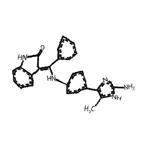 Cc1[nH]c(N)nc1-c1ccc(NC(=C2C(=O)Nc3ccccc32)c2ccccc2)cc1